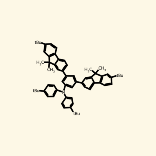 CC(C)(C)c1ccc(N(c2ccc(C(C)(C)C)cc2)c2cc(-c3ccc4c(c3)C(C)(C)c3cc(C(C)(C)C)ccc3-4)cc(-c3ccc4c(c3)C(C)(C)c3cc(C(C)(C)C)ccc3-4)c2)cc1